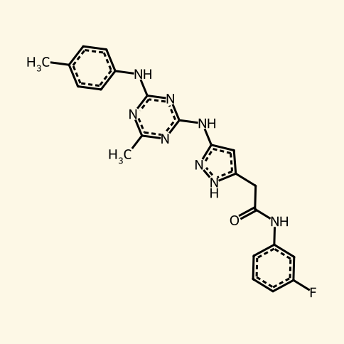 Cc1ccc(Nc2nc(C)nc(Nc3cc(CC(=O)Nc4cccc(F)c4)[nH]n3)n2)cc1